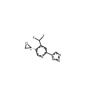 FC(F)c1cc(-n2cnnn2)ncc1[C@@H]1CO1